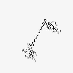 CC(C)(C)CC(C)(C)OOC(=O)OCCCCCCCCCCCCOC(=O)OOC(C)(C)CC(C)(C)C